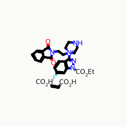 CCOC(=O)n1nc([N+]2(CCN3C(=O)c4ccccc4C3=O)CCNCC2)c2ccc(F)cc21.O=C(O)/C=C\C(=O)O